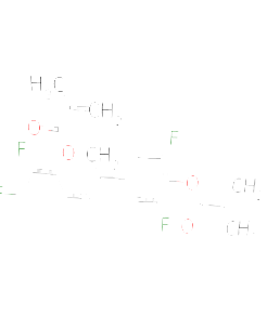 C=C(C)C(=O)OC(/C=C\C(=C)c1cc(F)c(OC(=O)C(=C)C)c(F)c1)=C(\F)CF